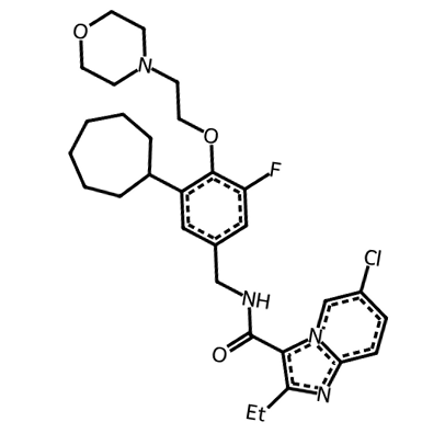 CCc1nc2ccc(Cl)cn2c1C(=O)NCc1cc(F)c(OCCN2CCOCC2)c(C2CCCCCC2)c1